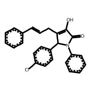 O=C1C(O)=C(CC=Cc2ccccc2)C(c2ccc(Cl)cc2)N1c1ccccc1